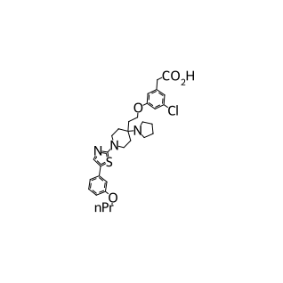 CCCOc1cccc(-c2cnc(N3CCC(CCOc4cc(Cl)cc(CC(=O)O)c4)(N4CCCC4)CC3)s2)c1